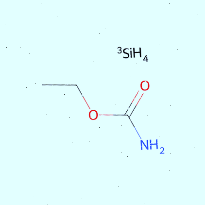 CCOC(N)=O.[3SiH4]